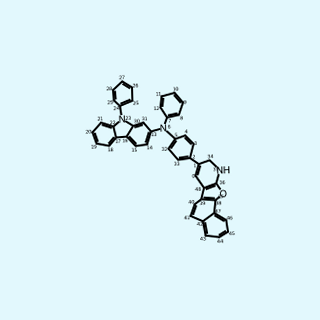 C1=C(c2ccc(N(c3ccccc3)c3ccc4c5ccccc5n(-c5ccccc5)c4c3)cc2)CNc2oc3c(ccc4ccccc43)c21